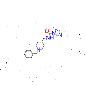 O=C(NCC1CCN(Cc2ccccc2)CC1)n1ccnc1